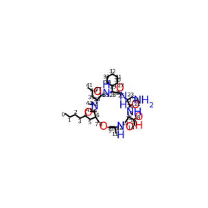 CCCCCCC1CO/C=C(/C)NC(=O)C(C(C)O)NC(=O)C(CN)NC(=O)C(C2CCCCC2)NC(=O)C(CCC)N(C)C1=O